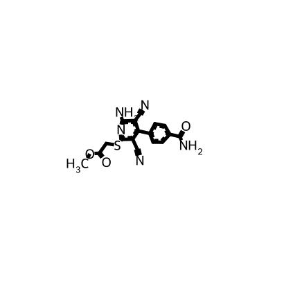 COC(=O)CSc1nc(N)c(C#N)c(-c2ccc(C(N)=O)cc2)c1C#N